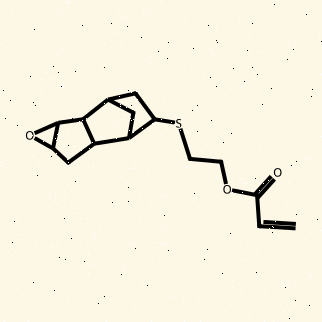 C=CC(=O)OCCSC1CC2CC1C1CC3OC3C21